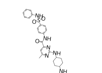 Cc1cc(C(=O)Nc2ccc(S(=O)(=O)Nc3ccccc3)cc2)nc(NC2CCC(N)CC2)n1